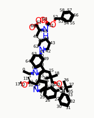 CCn1c(-c2cccnc2[C@H](C)OC)c(CC(C)(C)CO[Si](c2ccccc2)(c2ccccc2)C(C)(C)C)c2cc(N3CCC[C@@H](CC(NC(=O)OCc4ccccc4)C(=O)O)C3)ccc21